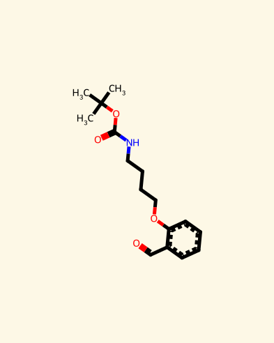 CC(C)(C)OC(=O)NCCCCOc1ccccc1C=O